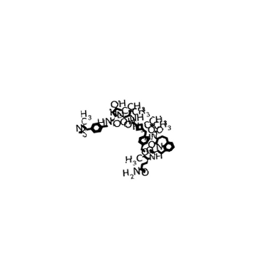 Cc1ncsc1-c1ccc(CNC(=O)[C@@H]2C[C@@H](O)CN2C(O)C(NC(=O)C2CC(Cc3ccc(CO[C@H](C)[C@H](CCC(N)=O)NC(=O)[C@@H]4Cc5cccc6c5N4C(=O)[C@@H](NC(=O)OC(C)(C)C)CC6)cc3)C2)C(C)(C)C)cc1